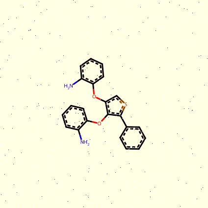 Nc1ccccc1Oc1csc(-c2ccccc2)c1Oc1ccccc1N